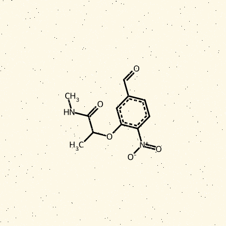 CNC(=O)C(C)Oc1cc(C=O)ccc1[N+](=O)[O-]